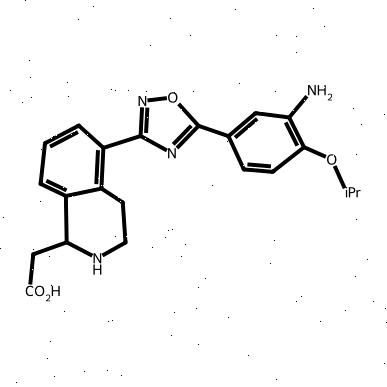 CC(C)Oc1ccc(-c2nc(-c3cccc4c3CCNC4CC(=O)O)no2)cc1N